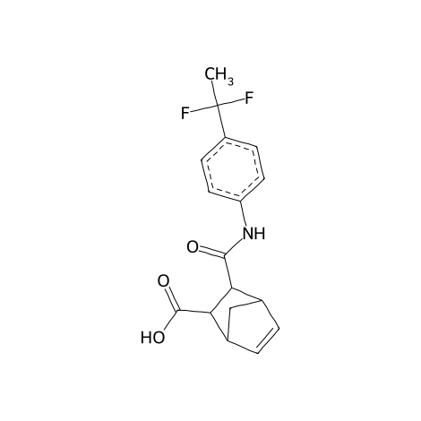 CC(F)(F)c1ccc(NC(=O)C2C3C=CC(C3)C2C(=O)O)cc1